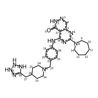 O=c1[nH]ncc2nc(N3CCCCCC3)nc(Nc3ccc(CN4CCC(CC5=NNNN5)CC4)cc3)c12